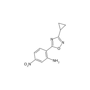 Nc1cc([N+](=O)[O-])ccc1-c1nc(C2CC2)no1